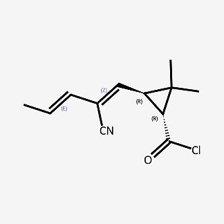 C/C=C/C(C#N)=C/[C@@H]1[C@@H](C(=O)Cl)C1(C)C